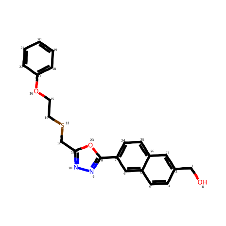 OCc1ccc2cc(-c3nnc(CSCCOc4ccccc4)o3)ccc2c1